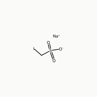 O=S(=O)([O-])CI.[Na+]